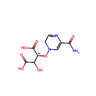 NC(=O)C1=CN(O[C@H](C(=O)O)C(O)C(=O)O)CC=N1